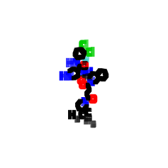 CC1(C)CCCN(C(=O)CCC(=O)N2Cc3ccccc3C[C@H]2C(=O)NC2(C(=O)Nc3ccc(Cl)c(Cl)c3F)CCNCC2)C1